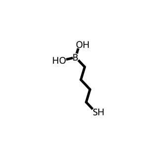 OB(O)CCCCS